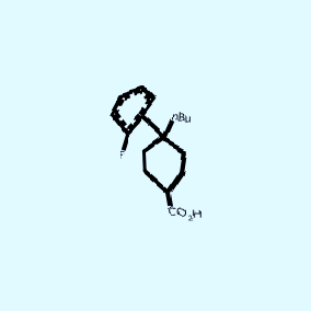 CCCCC1(c2ccccc2F)CCC(C(=O)O)CC1